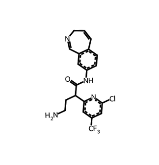 NCCC(C(=O)Nc1ccc2c(c1)C=NCC=C2)c1cc(C(F)(F)F)cc(Cl)n1